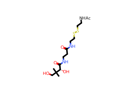 CC(=O)NCCSSCCNC(=O)CCNC(=O)[C@H](O)C(C)(C)CO